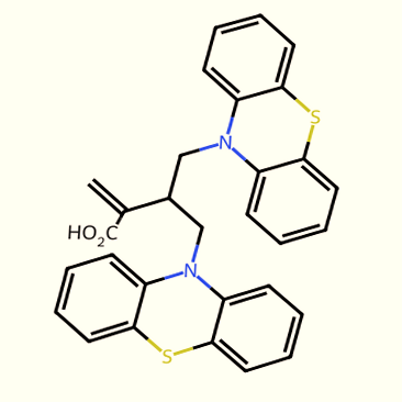 C=C(C(=O)O)C(CN1c2ccccc2Sc2ccccc21)CN1c2ccccc2Sc2ccccc21